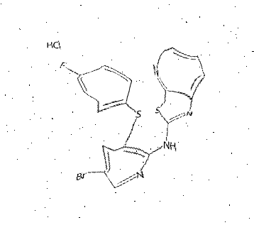 Cl.Fc1ccc(Sc2cc(Br)cnc2Nc2nc3cccnc3s2)cc1